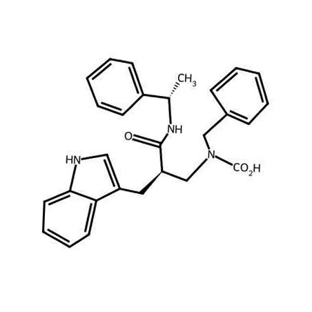 C[C@H](NC(=O)[C@H](Cc1c[nH]c2ccccc12)CN(Cc1ccccc1)C(=O)O)c1ccccc1